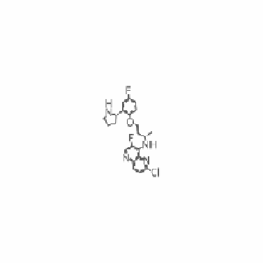 C[C@H](CCOc1ccc(F)cc1[C@H]1CCCN1)Nc1c(F)cnc2ccc(Cl)nc12